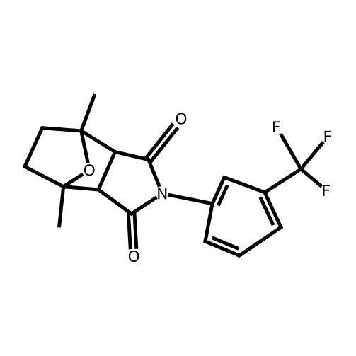 CC12CCC(C)(O1)C1C(=O)N(c3cccc(C(F)(F)F)c3)C(=O)C12